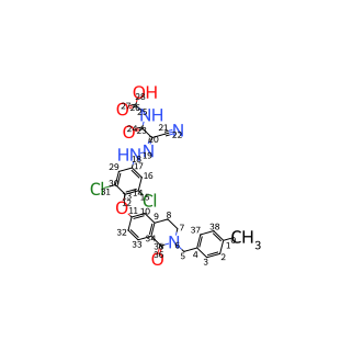 Cc1ccc(CN2CCc3cc(Oc4c(Cl)cc(NN=C(C#N)C(=O)NC(=O)O)cc4Cl)ccc3C2=O)cc1